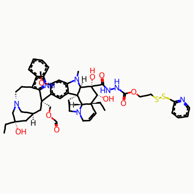 CC[C@]1(O)C[C@H]2C[N@@](CCc3c([nH]c4ccccc34)[C@@](COC=O)(c3cc4c(cc3OC)N(C)[C@H]3[C@@](O)(C(=O)NNC(=O)OCCSSc5ccccn5)[C@H](O)[C@]5(CC)C=CCN6CC[C@]43[C@@H]65)C2)C1